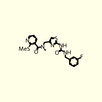 CSc1ncccc1C(=O)N(C)Cc1csc(NC(=O)NCc2cccc(F)c2)n1